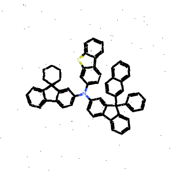 c1ccc(C2(c3ccc4ccccc4c3)c3ccccc3-c3ccc(N(c4ccc5c(c4)C4(CCCCC4)c4ccccc4-5)c4ccc5c(c4)sc4ccccc45)cc32)cc1